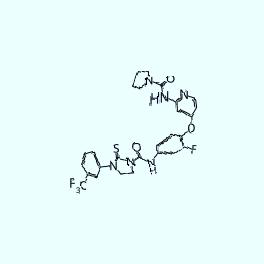 O=C(Nc1cc(Oc2ccc(NC(=O)N3CCN(c4cccc(C(F)(F)F)c4)C3=S)cc2F)ccn1)N1CCCC1